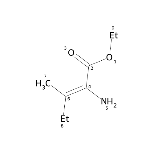 CCOC(=O)C(N)=C(C)CC